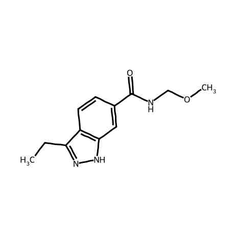 CCc1n[nH]c2cc(C(=O)NCOC)ccc12